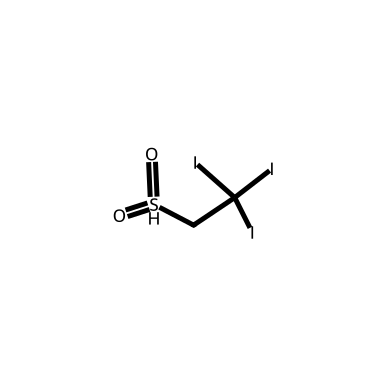 O=[SH](=O)CC(I)(I)I